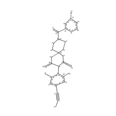 CC#Cc1cc(C)c(C2C(=O)CC3(CCN(C(=O)c4ccnc(F)c4)CC3)CC2=O)c(C)c1